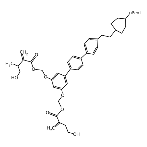 C=C(CCO)C(=O)OCOc1cc(OCOC(=O)C(=C)C(C)CO)cc(-c2ccc(-c3ccc(CCC4CCC(CCCCC)CC4)cc3)cc2)c1